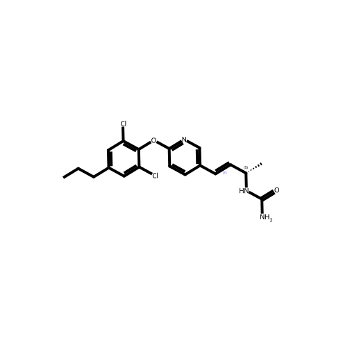 CCCc1cc(Cl)c(Oc2ccc(/C=C/[C@H](C)NC(N)=O)cn2)c(Cl)c1